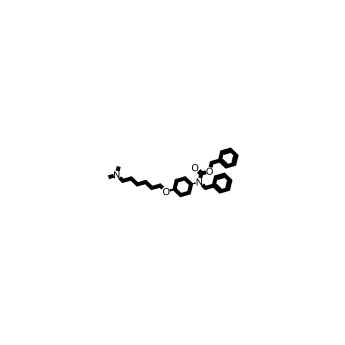 CN(C)CCCCCCO[C@H]1CC[C@H](N(Cc2ccccc2)C(=O)OCc2ccccc2)CC1